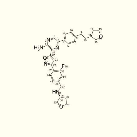 Nc1ncc(-c2ccc(CCC3CCOC3)cc2)nc1-c1cc(-c2ccc(CN[C@H]3CCOC3)cc2F)no1